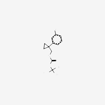 CC(C)(C)OC(=O)NCC1(c2cccc(Br)c2)CC1